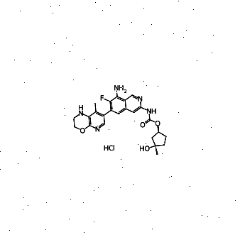 Cc1c(-c2cc3cc(NC(=O)O[C@H]4CC[C@](C)(O)C4)ncc3c(N)c2F)cnc2c1NCCO2.Cl